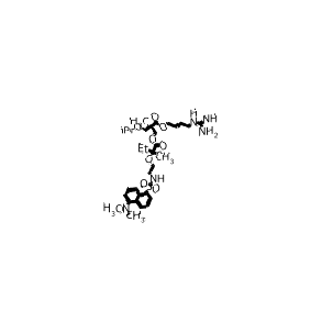 CCC(C)(OCCNS(=O)(=O)c1cccc2c(N(C)C)cccc12)C(=O)OCC(C)(COC(C)C)C(=O)OCCCCNC(=N)N